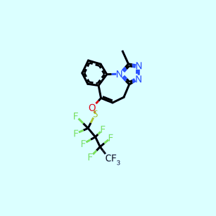 Cc1nnc2n1-c1ccccc1C(OSC(F)(F)C(F)(F)C(F)(F)C(F)(F)F)=CC2